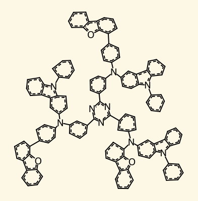 c1ccc(-n2c3ccccc3c3cc(N(c4ccc(-c5cccc6c5oc5ccccc56)cc4)c4cccc(-c5nc(-c6cccc(N(c7ccc(-c8cccc9c8oc8ccccc89)cc7)c7ccc8c(c7)c7ccccc7n8-c7ccccc7)c6)nc(-c6cccc(N(c7ccc8c(c7)c7ccccc7n8-c7ccccc7)c7cccc8c7oc7ccccc78)c6)n5)c4)ccc32)cc1